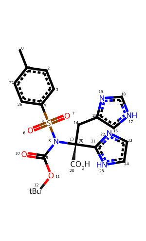 Cc1ccc(S(=O)(=O)N(C(=O)OC(C)(C)C)[C@@](Cc2c[nH]cn2)(C(=O)O)c2ncc[nH]2)cc1